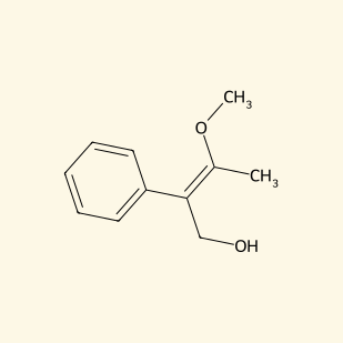 CO/C(C)=C(/CO)c1ccccc1